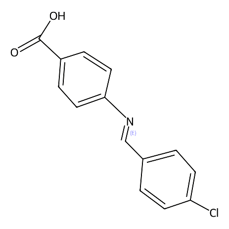 O=C(O)c1ccc(/N=C/c2ccc(Cl)cc2)cc1